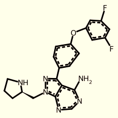 Nc1ncnc2c1c(-c1ccc(Oc3cc(F)cc(F)c3)cc1)nn2C[C@H]1CCCN1